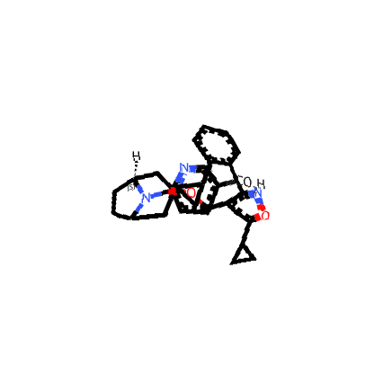 O=C(O)c1ccc(N2C3CC[C@H]2CC(OCc2c(-c4ccccc4C4CC4)noc2C2CC2)C3)nc1